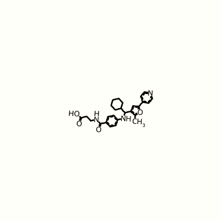 Cc1oc(-c2ccncc2)cc1C(Nc1ccc(C(=O)NCCC(=O)O)cc1)C1CCCCC1